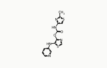 Cc1nc(NC(=O)Oc2ncsc2Nc2cccnc2)cs1